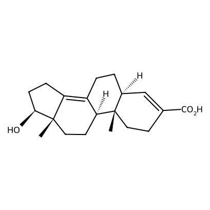 C[C@]12CCC(C(=O)O)=C[C@@H]1CCC1=C3CC[C@H](O)[C@@]3(C)CC[C@@H]12